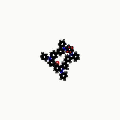 c1ccc(-n2c3ccccc3c3cc(-c4ccc5c(c4)c4c6oc7c(ccc8c7c7cc(-c9ccc%10c(c9)c9ccccc9n%10-c9ccccc9)ccc7n8-c7ccccc7)c6ccc4n5-c4ccccc4)ccc32)cc1